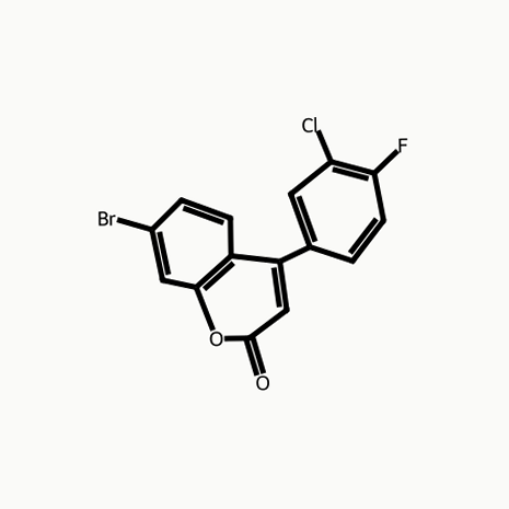 O=c1cc(-c2ccc(F)c(Cl)c2)c2ccc(Br)cc2o1